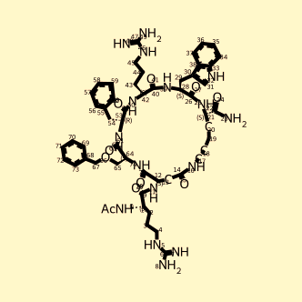 CC(=O)N[C@@H](CCCNC(=N)N)C(=O)N[C@H]1CC(=O)NCCCC[C@@H](C(N)=O)NC(=O)[C@H](Cc2c[nH]c3ccccc23)NC(=O)[C@H](CCCNC(=N)N)NC(=O)[C@@H](Cc2ccccc2)NC(=O)[C@H](COCc2ccccc2)NC1=O